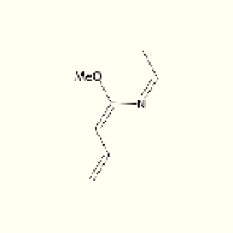 C=C/C=C(\N=C/C)OC